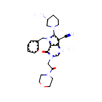 Cl.N#Cc1c(N2CCC[C@H](N)C2)n(Cc2ccccc2)c2c(=O)n(CC(=O)N3CCOCC3)cnc12